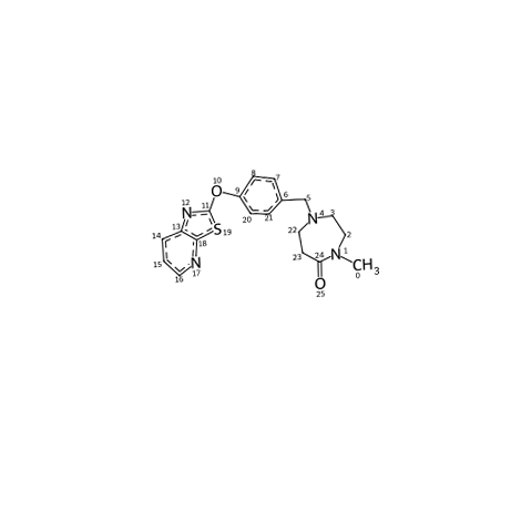 CN1CCN(Cc2ccc(Oc3nc4cccnc4s3)cc2)CCC1=O